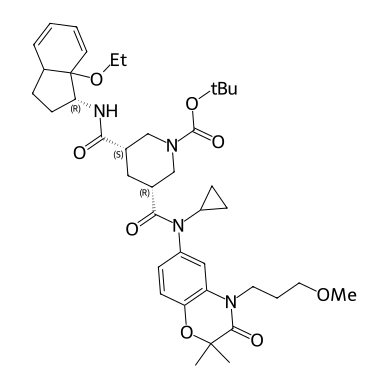 CCOC12C=CC=CC1CC[C@H]2NC(=O)[C@H]1C[C@@H](C(=O)N(c2ccc3c(c2)N(CCCOC)C(=O)C(C)(C)O3)C2CC2)CN(C(=O)OC(C)(C)C)C1